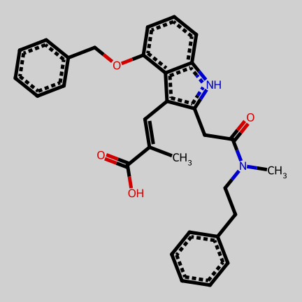 CC(=Cc1c(CC(=O)N(C)CCc2ccccc2)[nH]c2cccc(OCc3ccccc3)c12)C(=O)O